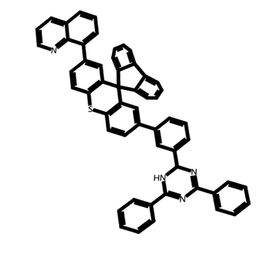 c1ccc(C2=NC(c3cccc(-c4ccc5c(c4)C4(c6cc(-c7cccc8cccnc78)ccc6S5)c5ccccc5-c5ccccc54)c3)NC(c3ccccc3)=N2)cc1